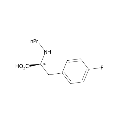 CCCN[C@@H](Cc1ccc(F)cc1)C(=O)O